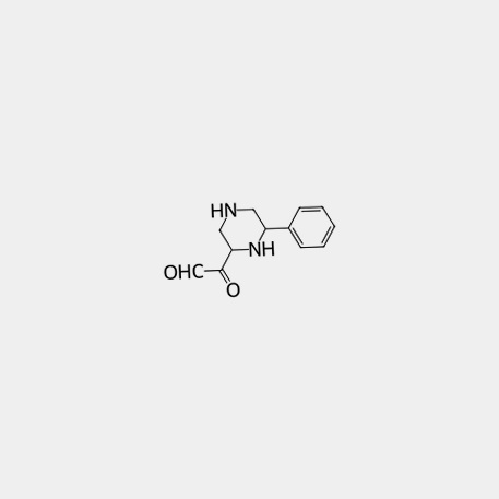 O=CC(=O)C1CNCC(c2ccccc2)N1